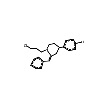 ClCCCN1CCC(c2ccc(Cl)cc2)CC1=Cc1ccccc1